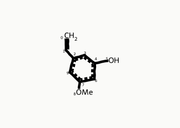 C=Cc1cc(O)cc(OC)c1